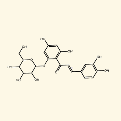 O=C(/C=C/c1ccc(O)c(O)c1)c1c(O)cc(O)cc1OC1OC(CO)C(O)C(O)C1O